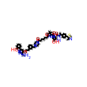 Cc1ncsc1-c1ccc(C(C)NC(=O)[C@@H]2C[C@@H](O)CN2C(=O)C(NC(=O)CCCCCC(=O)N2CCN(Cc3cccc(CCOc4cc(-c5ccccc5O)nnc4N)c3)CC2)C(C)(C)C)cc1